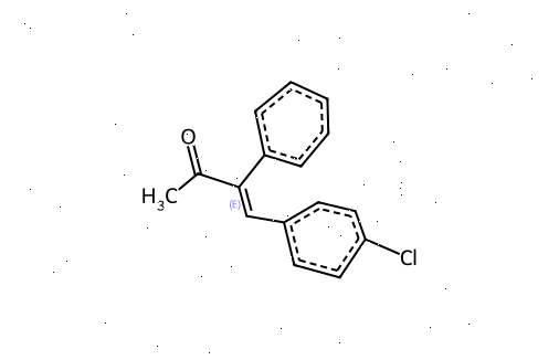 CC(=O)/C(=C/c1ccc(Cl)cc1)c1ccccc1